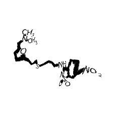 CN(C)Cc1ccc(CCSCCNC2=NS(=O)(=O)c3cc([N+](=O)[O-])ccc32)o1